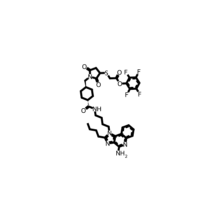 CCCCc1nc2c(N)nc3ccccc3c2n1CCCCNC(=O)[C@H]1CC[C@H](CN2C(=O)CC(SCC(=O)Oc3c(F)c(F)cc(F)c3F)C2=O)CC1